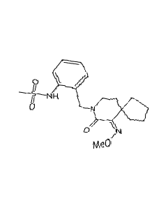 CON=C1C(=O)N(Cc2ccccc2NS(C)(=O)=O)CCC12CCCC2